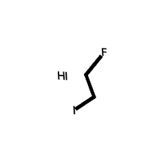 FCCI.I